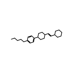 CCCCCc1ccc(C2CCC(C=CC3CCCCC3)CC2)cc1